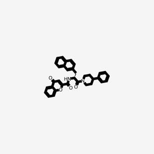 O=C(N[C@H](Cc1ccc2ccccc2c1)C(=O)N1CCC(c2ccccc2)CC1)c1cc(=O)c2ccccc2o1